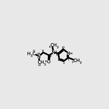 Cc1ccc(N(C)C(=O)CN(C)C)cn1